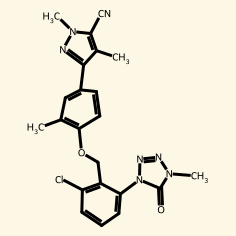 Cc1cc(-c2nn(C)c(C#N)c2C)ccc1OCc1c(Cl)cccc1-n1nnn(C)c1=O